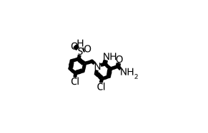 N=c1c(C(N)=O)cc(Cl)cn1Cc1cc(Cl)ccc1[SH](=O)=O